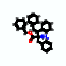 NC(Cc1ccccc1)(C(=O)OCc1ccccc1)C(Cc1ccccc1)c1ccccc1